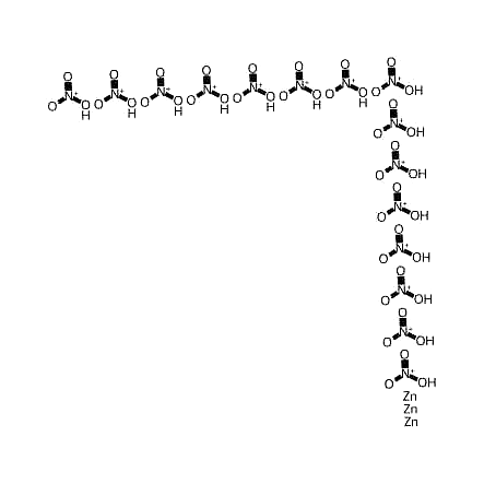 O=[N+]([O-])O.O=[N+]([O-])O.O=[N+]([O-])O.O=[N+]([O-])O.O=[N+]([O-])O.O=[N+]([O-])O.O=[N+]([O-])O.O=[N+]([O-])O.O=[N+]([O-])O.O=[N+]([O-])O.O=[N+]([O-])O.O=[N+]([O-])O.O=[N+]([O-])O.O=[N+]([O-])O.O=[N+]([O-])O.[Zn].[Zn].[Zn]